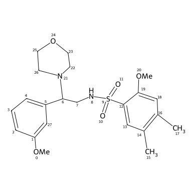 COc1cccc(C(CNS(=O)(=O)c2cc(C)c(C)cc2OC)N2CCOCC2)c1